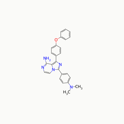 CN(C)c1ccc(-c2nc(-c3ccc(Oc4ccccc4)cc3)c3c(N)nccn23)cc1